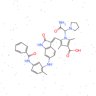 Cc1ccc(NC(=O)c2ccccc2)cc1Nc1ccc2c(c1)NC(=O)C2=Cc1c(C)c(C(=O)O)c(C)n1C(C(N)=O)N1CCCC1